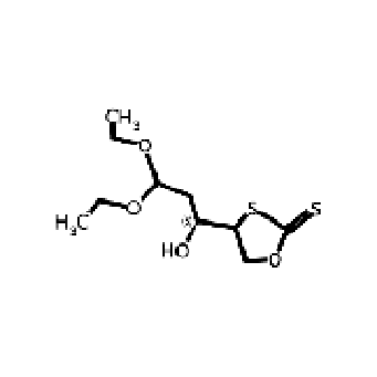 CCOC(C[C@H](O)C1COC(=S)S1)OCC